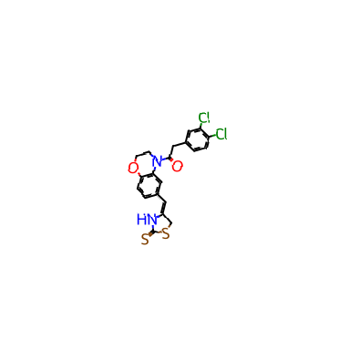 O=C(Cc1ccc(Cl)c(Cl)c1)N1CCOc2ccc(C=C3CSC(=S)N3)cc21